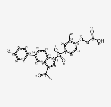 CC(=O)c1cn(S(=O)(=O)c2ccc(OCC(=O)O)c(C)c2)c2ccc(-c3ccc(C)cc3)cc12